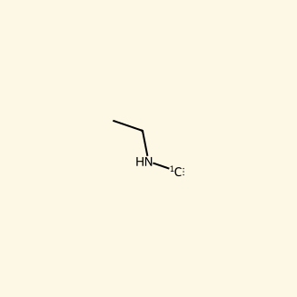 CCN[1C]